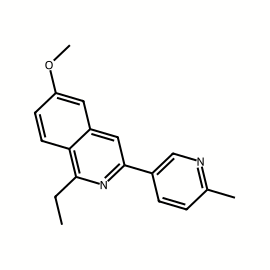 CCc1nc(-c2ccc(C)nc2)cc2cc(OC)ccc12